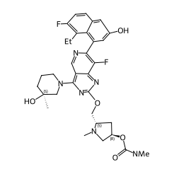 CCc1c(F)ccc2cc(O)cc(-c3ncc4c(N5CCC[C@](C)(O)C5)nc(OC[C@@H]5C[C@@H](OC(=O)NC)CN5C)nc4c3F)c12